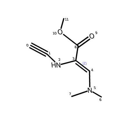 C#CN/C(=C\N(C)C)C(=O)OC